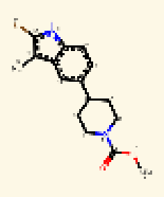 CC(C)(C)OC(=O)N1CCC(c2ccc3[nH]c(Br)c(C#N)c3c2)CC1